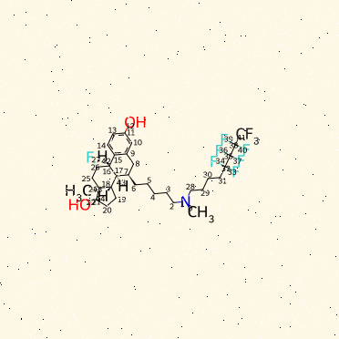 CN(CCCCC[C@@H]1Cc2cc(O)ccc2[C@@H]2[C@@H]1[C@@H]1CC[C@H](O)[C@@]1(C)C[C@@H]2F)CCCCC(F)(F)C(F)(F)C(F)(F)C(F)(F)F